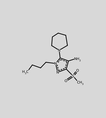 CCCCn1nc(S(C)(=O)=O)c(N)c1N1CCCCC1